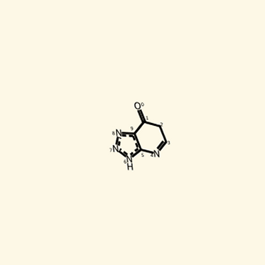 O=C1CC=Nc2[nH]nnc21